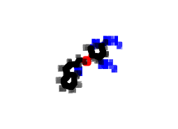 Nc1cc(N)c(OCc2ccc3ccccc3n2)cn1